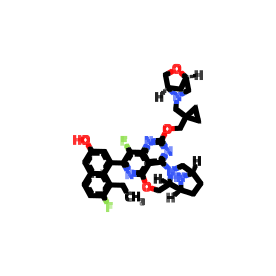 CCc1c(F)ccc2cc(O)cc(-c3nc4c5c(nc(OCC6(CN7C[C@H]8C[C@@H]7CO8)CC6)nc5c3F)N3C[C@@H]5CC[C@@H](N5)[C@@H]3CO4)c12